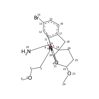 COCCN1C(=O)C2(N=C1N)c1cc(Br)ccc1CC21CCC(OC)CC1